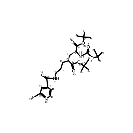 CC(C)(C)OC(=O)N[C@@H](C[C@H](CCCNC(=O)c1ccnc(F)c1)C(=O)OC(C)(C)C)C(=O)OC(C)(C)C